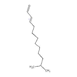 CC(C)CCCCCCC/C=C/C=O